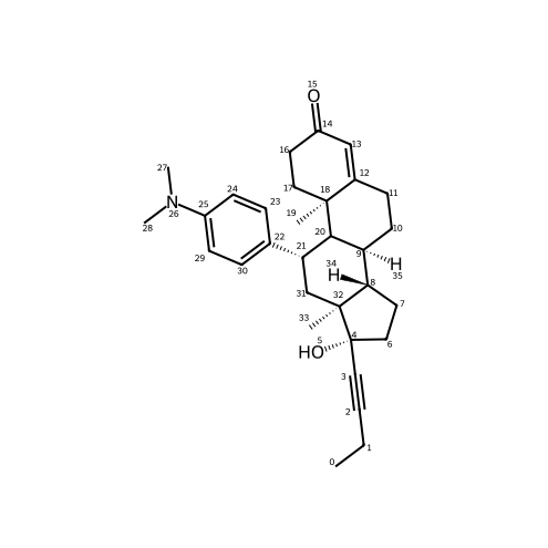 CCC#C[C@]1(O)CC[C@H]2[C@@H]3CCC4=CC(=O)CC[C@]4(C)C3[C@@H](c3ccc(N(C)C)cc3)C[C@@]21C